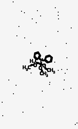 CCOC(C)C(OCC)(OCC)P(c1ccccc1)c1ccccc1